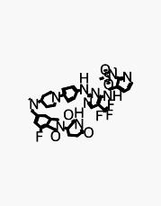 CN(CC1=CC(F)=C2C(=O)N(C3CCC(=O)NC3=O)CC2C1)C1CCN(c2ccc(Nc3ncc(C(F)(F)F)c(NCc4cccnc4N(C)S(C)(=O)=O)n3)cc2)CC1